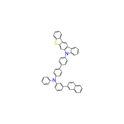 c1ccc(N(c2ccc(-c3ccc(-n4c5ccccc5c5cc6c(cc54)sc4ccccc46)cc3)cc2)c2cccc(-c3ccc4ccccc4c3)c2)cc1